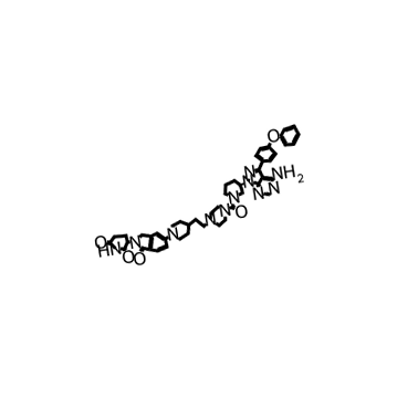 Nc1ncnc2c1c(-c1ccc(Oc3ccccc3)cc1)nn2[C@@H]1CCCN(C(=O)N2CCN(CCC3CCN(c4ccc5c(c4)CN(C4CCC(=O)NC4=O)C5=O)CC3)CC2)C1